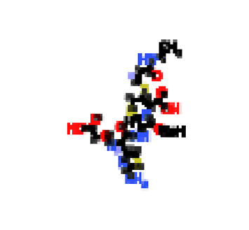 CCNC(=O)/C=C\SC1=C(C(=O)O)N2C(=O)[C@@H](NC(=O)/C(=N\OCC(=O)O)c3csc(N)n3)[C@H]2SC1.[NaH]